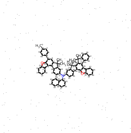 Cc1ccc(-c2cc3c(c4c2oc2ccccc24)-c2ccc(N(c4ccc5c(c4)C(C)(C)c4c6c(c7c(oc8ccccc87)c4-5)-c4ccccc4C6(C)C)c4cccc5ccccc45)cc2C3(C)C)cc1